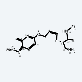 C=C1N=C(OC/C=C\C[C@@H](CN)C(C)NCC)C=C/C1=N/OC